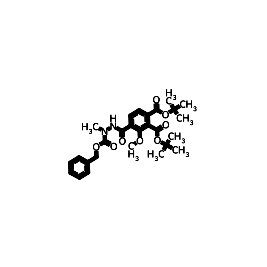 COc1c(C(=O)NN(C)C(=O)OCc2ccccc2)ccc(C(=O)OC(C)(C)C)c1C(=O)OC(C)(C)C